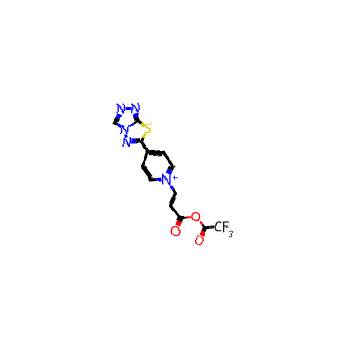 O=C(CC[n+]1ccc(-c2nn3cnnc3s2)cc1)OC(=O)C(F)(F)F